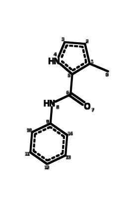 Cc1cc[nH]c1C(=O)Nc1ccccc1